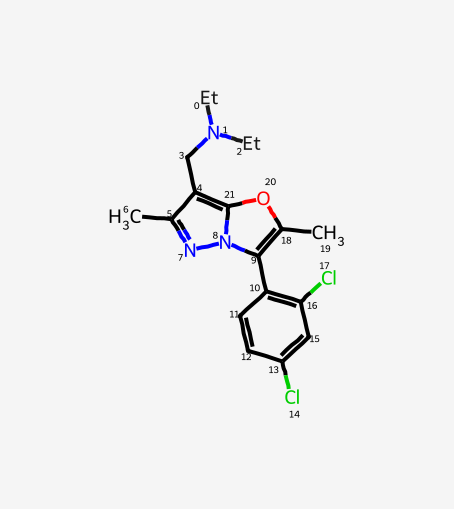 CCN(CC)Cc1c(C)nn2c(-c3ccc(Cl)cc3Cl)c(C)oc12